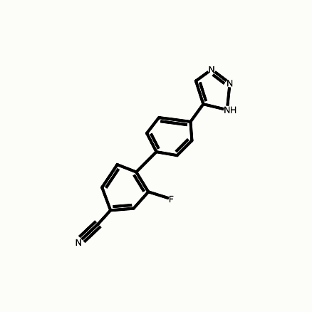 N#Cc1ccc(-c2ccc(-c3cnn[nH]3)cc2)c(F)c1